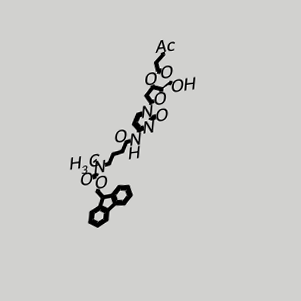 CC(=O)CCC(=O)OC1C[C@H](n2ccc(NC(=O)CCCN(C)C(=O)OCC3c4ccccc4-c4ccccc43)nc2=O)O[C@@H]1CO